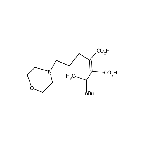 CCCCC(C)C(C(=O)O)=C(CCCN1CCOCC1)C(=O)O